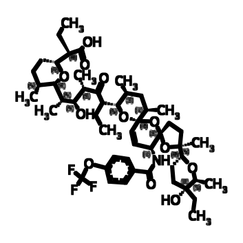 CCC(C(=O)[C@@H](C)[C@@H](O)[C@H](C)[C@@H]1O[C@@H]([C@@H](CC)C(=O)O)CC[C@@H]1C)[C@H]1O[C@]2(C=C[C@@H](NC(=O)c3ccc(OC(F)(F)F)cc3)[C@]3(CC[C@@](C)([C@H]4CC[C@](O)(CC)[C@H](C)O4)O3)O2)[C@H](C)C[C@@H]1C